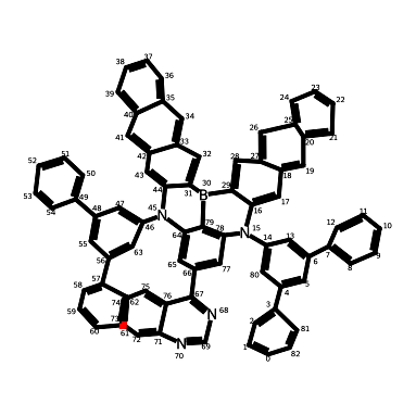 c1ccc(-c2cc(-c3ccccc3)cc(N3c4cc5cc6ccccc6cc5cc4B4c5cc6cc7ccccc7cc6cc5N(c5cc(-c6ccccc6)cc(-c6ccccc6)c5)c5cc(-c6ncnc7ccccc67)cc3c54)c2)cc1